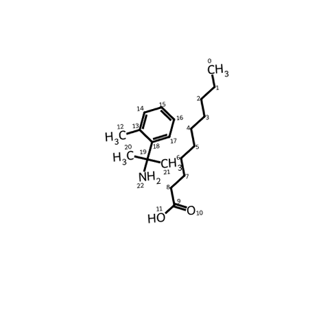 CCCCCCCCCC(=O)O.Cc1ccccc1C(C)(C)N